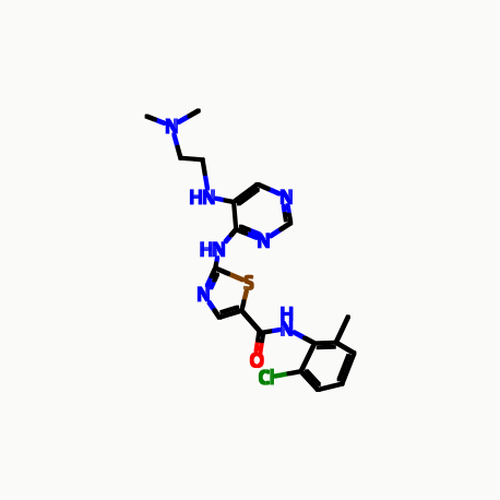 Cc1cccc(Cl)c1NC(=O)c1cnc(Nc2ncncc2NCCN(C)C)s1